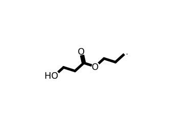 [CH2]CCOC(=O)CCO